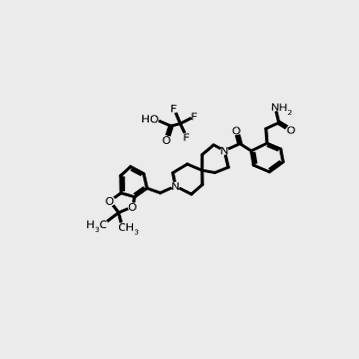 CC1(C)Oc2cccc(CN3CCC4(CC3)CCN(C(=O)c3ccccc3CC(N)=O)CC4)c2O1.O=C(O)C(F)(F)F